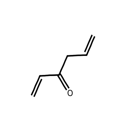 C=CCC(=O)C=C